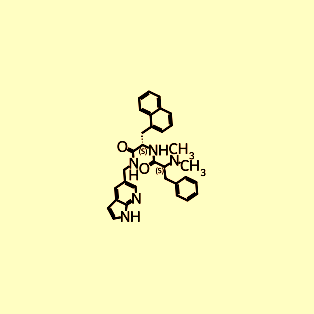 CN(C)[C@@H](Cc1ccccc1)C(=O)N[C@@H](Cc1cccc2ccccc12)C(=O)NCc1cnc2[nH]ccc2c1